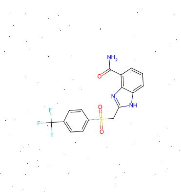 NC(=O)c1cccc2[nH]c(CS(=O)(=O)c3ccc(C(F)(F)F)cc3)nc12